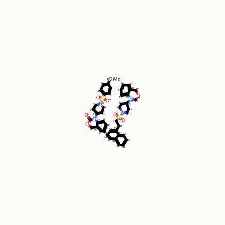 COc1ccc(S(=O)(=O)N2CCC(N3C(=O)OCc4ccccc43)CC2)cc1.O=S(=O)(CCc1cccc2ccccc12)N1CCC(N2COCc3ccccc32)CC1